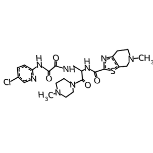 CN1CCN(C(=O)C(CNC(=O)C(=O)Nc2ccc(Cl)cn2)NC(=O)c2nc3c(s2)CN(C)CC3)CC1